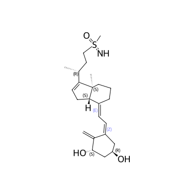 C=C1/C(=C\C=C2/CCC[C@]3(C)C([C@H](C)CCS(C)(=N)=O)=CC[C@@H]23)C[C@@H](O)C[C@@H]1O